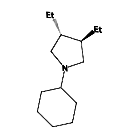 CC[C@H]1CN(C2CCCCC2)C[C@@H]1CC